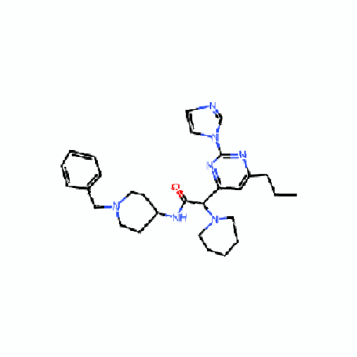 CCCc1cc(C(C(=O)NC2CCN(Cc3ccccc3)CC2)N2CCCCC2)nc(-n2ccnc2)n1